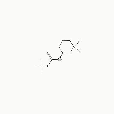 CC(C)(C)OC(=O)N[C@H]1CCCC(F)(F)C1